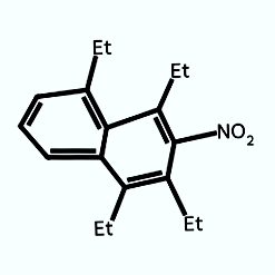 CCc1c([N+](=O)[O-])c(CC)c2c(CC)cccc2c1CC